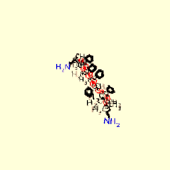 C=C[Si](C)(O[Si](C)(C)CCCN)O[Si](C)(OO[Si](C)(OO[Si](C)(OO[Si](C)(OO[Si](C)(O[Si](C)(C)CCCN)c1ccccc1)c1ccccc1)c1ccccc1)c1ccccc1)c1ccccc1